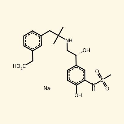 CC(C)(Cc1cccc(CC(=O)O)c1)NC[C@H](O)c1ccc(O)c(NS(C)(=O)=O)c1.[Na]